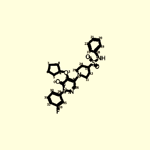 O=c1c(OC2CCCC2)c(N2CCC(S(=O)(=O)Nc3ccccc3)CC2)cnn1-c1cccc(F)c1